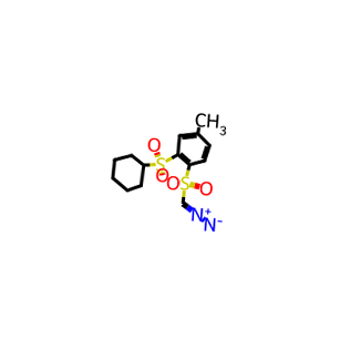 Cc1ccc(S(=O)(=O)C=[N+]=[N-])c(S(=O)(=O)C2CCCCC2)c1